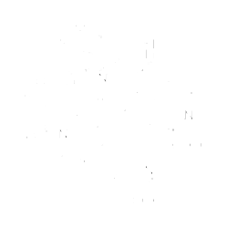 O=C([O-])c1cc(C2CCN(C(=O)C3COC3)CC2)ccn1.O=C([O-])c1cc(C2CCN(C(=O)C3COC3)CC2)ccn1.[Li+].[Li+]